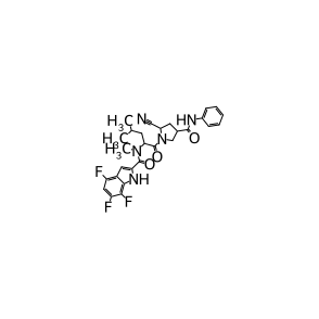 CC(C)CC(C(=O)N1CC(C(=O)Nc2ccccc2)CC1C#N)N(C)C(=O)c1cc2c(F)cc(F)c(F)c2[nH]1